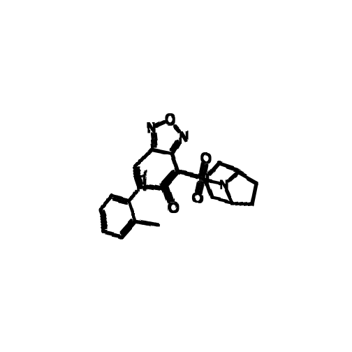 Cc1ccccc1NC(=O)CN1CC2CCC(C1)N2S(=O)(=O)c1cccc2nonc12